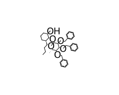 CCCC[C@H]1CCC[C@@H](O)[C@@H]1O[C@@H]1O[C@@H](C)[C@@H](OCc2ccccc2)[C@@H](OCc2ccccc2)[C@@H]1OCc1ccccc1